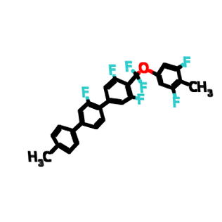 Cc1ccc(-c2ccc(-c3cc(F)c(C(F)(F)Oc4cc(F)c(C)c(F)c4)c(F)c3)c(F)c2)cc1